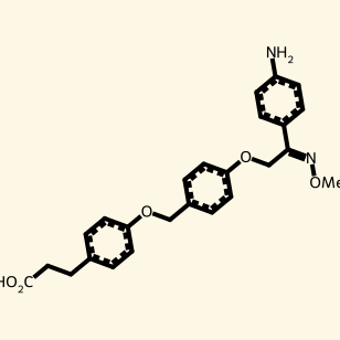 CO/N=C(\COc1ccc(COc2ccc(CCC(=O)O)cc2)cc1)c1ccc(N)cc1